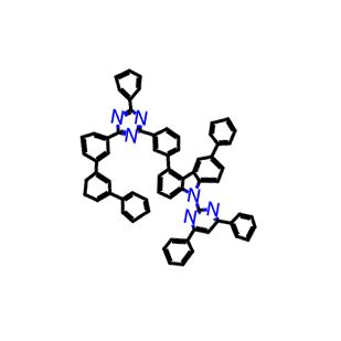 C1=C(c2ccccc2)C=C(c2cccc(-c3nc(-c4ccccc4)nc(-c4cccc(-c5cccc6c5c5cc(-c7ccccc7)ccc5n6-c5nc(-c6ccccc6)cc(-c6ccccc6)n5)c4)n3)c2)CC1